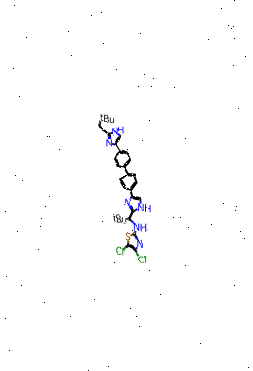 CC(C)(C)Cc1nc(-c2ccc(-c3ccc(-c4c[nH]c(C(Nc5nc(Cl)c(Cl)s5)C(C)(C)C)n4)cc3)cc2)c[nH]1